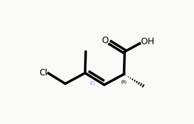 C/C(=C\[C@@H](C)C(=O)O)CCl